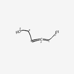 CCC=C=CCO